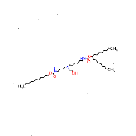 CCCCCCCCCCCOC(=O)NCCCCN(CCO)CCCCCCNC(=O)OC(CCCCCCCC)CCCCCCCC